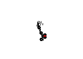 C=CC(=O)Oc1ccc(C=Cc2ccc(N(C=C(c3ccccn3)c3ccccn3)c3ccccc3)cc2)cc1